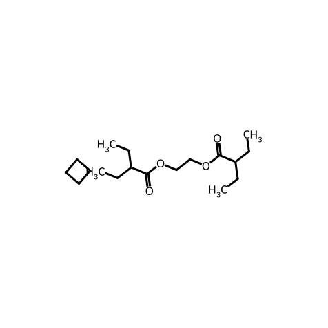 C1CCC1.CCC(CC)C(=O)OCCOC(=O)C(CC)CC